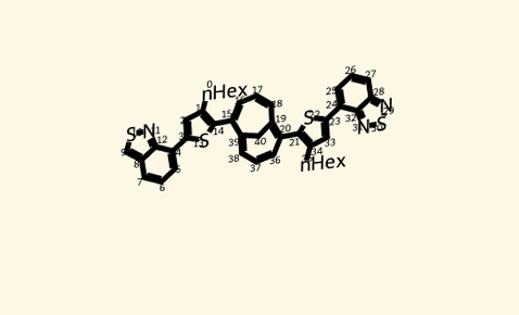 CCCCCCc1cc(-c2cccc3csnc23)sc1C1=CC=CC2=C(c3sc(-c4cccc5nsnc45)cc3CCCCCC)C=CC=C1C2